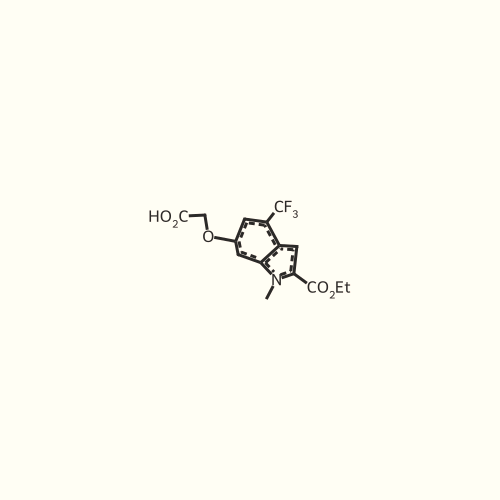 CCOC(=O)c1cc2c(C(F)(F)F)cc(OCC(=O)O)cc2n1C